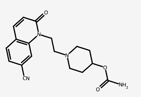 N#Cc1ccc2ccc(=O)n(CCN3CCC(OC(N)=O)CC3)c2c1